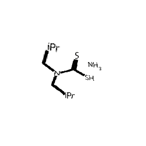 CC(C)CN(CC(C)C)C(=S)S.N